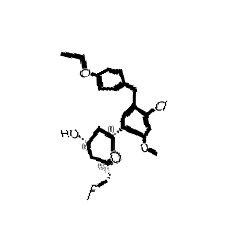 CCOc1ccc(Cc2cc([C@H]3C[C@@H](O)C[C@@H](CF)O3)c(OC)cc2Cl)cc1